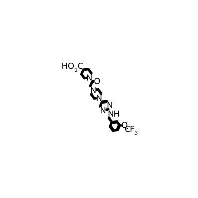 O=C(O)C1CCN(C(=O)CN2CCN(c3cnc(NCc4cccc(OC(F)(F)F)c4)nc3)CC2)CC1